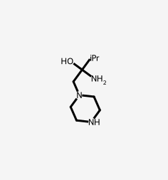 CC(C)C(N)(O)CN1CCNCC1